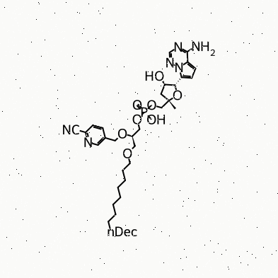 CCCCCCCCCCCCCCCCCCOC[C@H](COP(=O)(O)OC[C@]1(C)C[C@@H](O)[C@H](c2ccc3c(N)ncnn23)O1)OCc1ccc(C#N)nc1